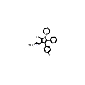 CC(C)c1c(/C=C/C=O)c(-c2ccc(F)cc2)c(-c2ccccc2)n1N1CCCCC1